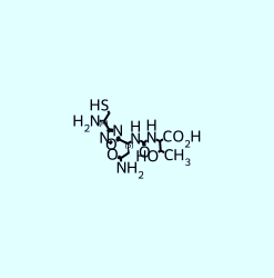 CC(O)C(NC(=O)N[C@@H](CC(N)=O)c1nc([C@@H](N)CS)no1)C(=O)O